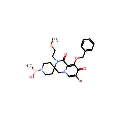 COCCN1C(=O)c2c(OCc3ccccc3)c(=O)c(Br)cn2CC12CCN(B(C)O)CC2